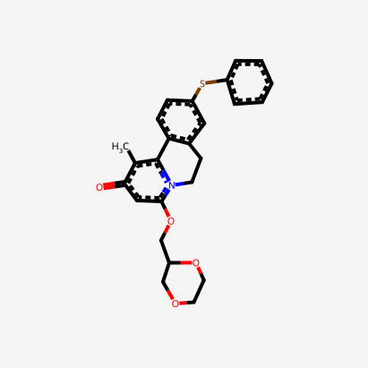 Cc1c2n(c(OCC3COCCO3)cc1=O)CCc1cc(Sc3ccccc3)ccc1-2